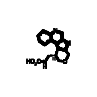 O=C(O)NC[C@H]1COCc2nc3cnc4ccccc4c3n21